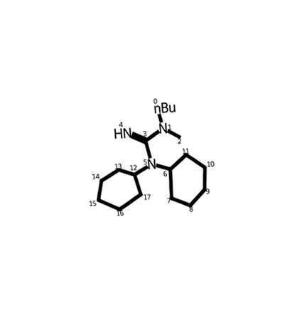 CCCCN(C)C(=N)N(C1CCCCC1)C1CCCCC1